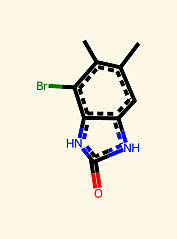 Cc1cc2[nH]c(=O)[nH]c2c(Br)c1C